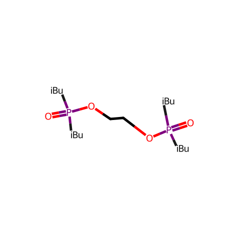 CCC(C)P(=O)(OCCOP(=O)(C(C)CC)C(C)CC)C(C)CC